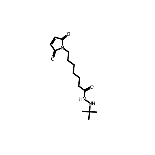 CC(C)(C)NNC(=O)CCCCCCN1C(=O)C=CC1=O